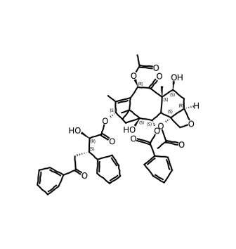 CC(=O)O[C@H]1C(=O)[C@@]2(C)C([C@H](OC(=O)c3ccccc3)[C@]3(O)C[C@H](OC(=O)[C@H](O)[C@@H](CC(=O)c4ccccc4)c4ccccc4)C(C)=C1C3(C)C)[C@]1(OC(C)=O)CO[C@@H]1C[C@@H]2O